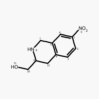 O=[N+]([O-])c1ccc2c(c1)CNC(CO)C2